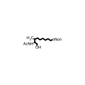 CCCCCCCCCCCCCCCC(C)[C@H](CO)NC(C)=O